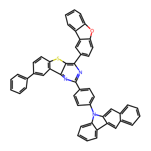 c1ccc(-c2ccc3sc4c(-c5ccc6oc7ccccc7c6c5)nc(-c5ccc(-n6c7ccccc7c7cc8ccccc8cc76)cc5)nc4c3c2)cc1